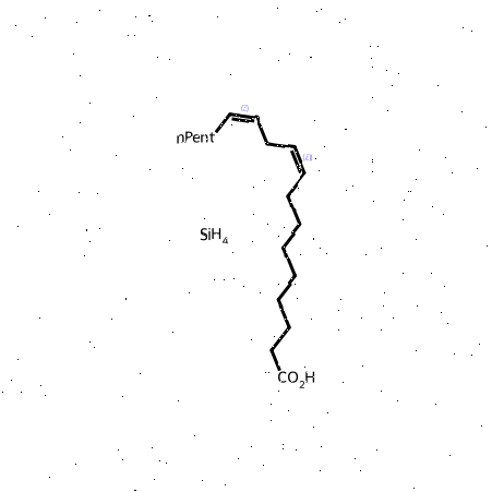 CCCCC/C=C\C/C=C\CCCCCCCC(=O)O.[SiH4]